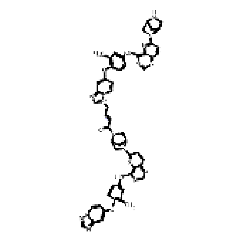 Cc1cc(Nc2ncnc3ccc(N4CC5CC4CN5)nc23)ccc1Oc1ccn2c(c1)nc[n+]2C/C=C/C(=O)N1CC2CC1CN2c1ccc2ncnc(Nc3ccc(Oc4ccn5ncnc5c4)c(C)c3)c2n1